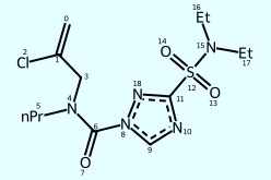 C=C(Cl)CN(CCC)C(=O)n1cnc(S(=O)(=O)N(CC)CC)n1